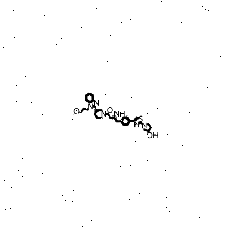 COCCCn1c([C@@H]2CCCN(C(=O)C[C@H](N)Cc3ccc(-c4csc(N5CC[C@H](O)C5)n4)cc3)C2)nc2ccccc21